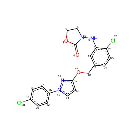 O=C1OCCN1Nc1cc(COc2ccn(-c3ccc(Cl)cc3)n2)ccc1Cl